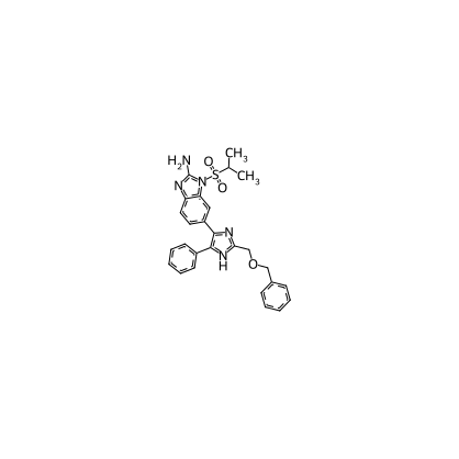 CC(C)S(=O)(=O)n1c(N)nc2ccc(-c3nc(COCc4ccccc4)[nH]c3-c3ccccc3)cc21